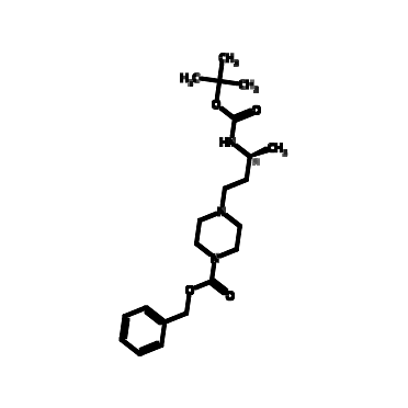 C[C@@H](CCN1CCN(C(=O)OCc2ccccc2)CC1)NC(=O)OC(C)(C)C